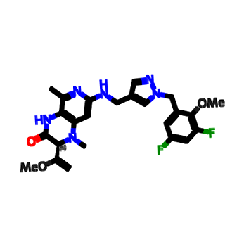 C=C(OC)[C@H]1C(=O)Nc2c(cc(NCc3cnn(Cc4cc(F)cc(F)c4OC)c3)nc2C)N1C